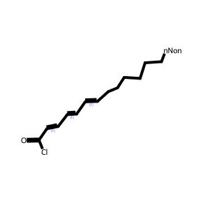 CCCCCCCCCCCCCCC/C=C/C=C/C=C/C(=O)Cl